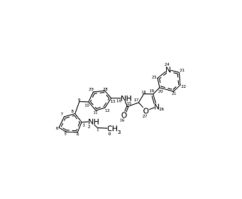 CCNc1ccccc1Cc1ccc(NC(=O)C2CC(c3cccnc3)=NO2)cc1